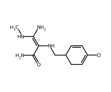 CN/C(N)=C(/NCC1C=CC(Cl)=CC1)C(N)=O